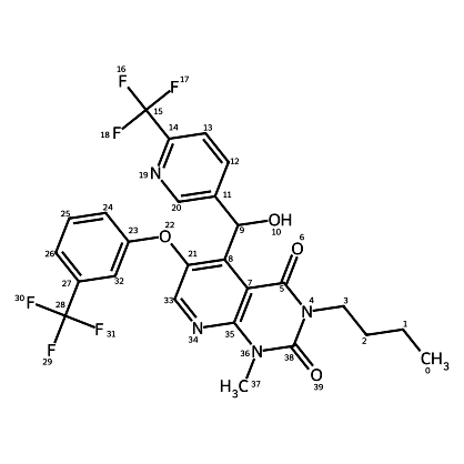 CCCCn1c(=O)c2c(C(O)c3ccc(C(F)(F)F)nc3)c(Oc3cccc(C(F)(F)F)c3)cnc2n(C)c1=O